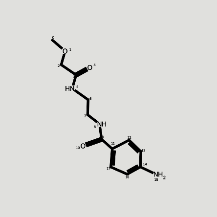 COCC(=O)NCCNC(=O)c1ccc(N)cc1